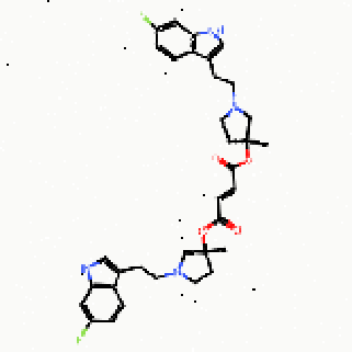 CC1(OC(=O)/C=C/C(=O)OC2(C)CCN(CCc3c[nH]c4cc(F)ccc34)C2)CCN(CCc2c[nH]c3cc(F)ccc23)C1